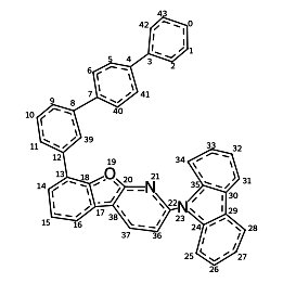 c1ccc(-c2ccc(-c3cccc(-c4cccc5c4oc4nc(-n6c7ccccc7c7ccccc76)ccc45)c3)cc2)cc1